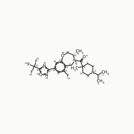 CC(C)N1CCC(C)(C(=O)N2Cc3c(F)cc(-c4noc(C(F)(F)F)n4)cc3OC[C@@H]2C)CC1